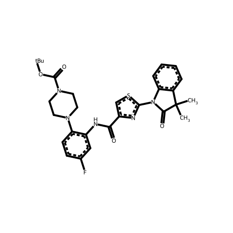 CC(C)(C)OC(=O)N1CCN(c2ccc(F)cc2NC(=O)c2csc(N3C(=O)C(C)(C)c4ccccc43)n2)CC1